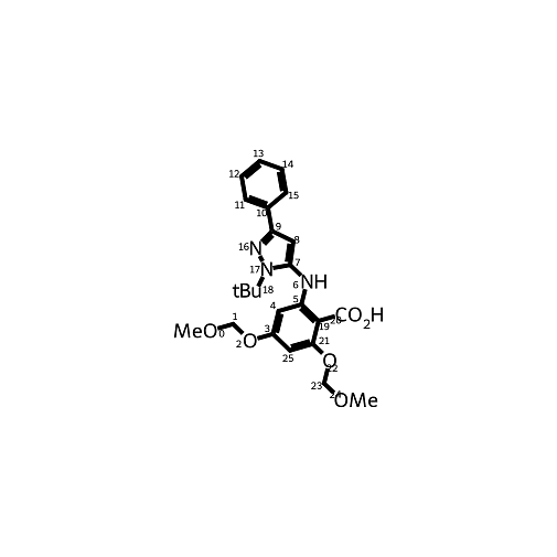 COCOc1cc(Nc2cc(-c3ccccc3)nn2C(C)(C)C)c(C(=O)O)c(OCOC)c1